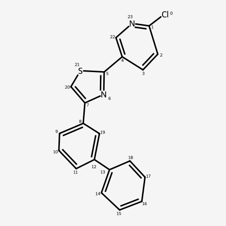 Clc1ccc(-c2nc(-c3cccc(-c4ccccc4)c3)cs2)cn1